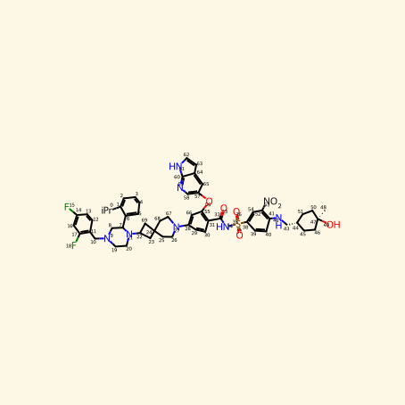 CC(C)c1ccccc1C1CN(Cc2ccc(F)cc2F)CCN1C1CC2(CCN(c3ccc(C(=O)NS(=O)(=O)c4ccc(NC[C@H]5CC[C@](C)(O)CC5)c([N+](=O)[O-])c4)c(Oc4cnc5[nH]ccc5c4)c3)CC2)C1